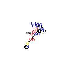 CCN(Cc1cnc2nc(N)[nH]c(=O)c2n1)c1ccc(C(=O)N[C@@H](CCC(=O)OCCSSc2ccccn2)C(=O)OC(C)(C)C)cc1